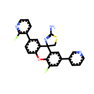 NC1=NC2(CS1)c1cc(-c3cccnc3F)ccc1Oc1c(F)cc(-c3cccnc3)cc12